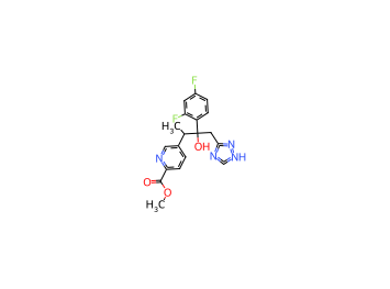 COC(=O)c1ccc(C(C)C(O)(Cc2nc[nH]n2)c2ccc(F)cc2F)cn1